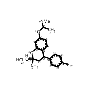 CNC(C)Oc1ccc2c(c1)OC(C)(C)CC2c1ccc(F)cc1.Cl